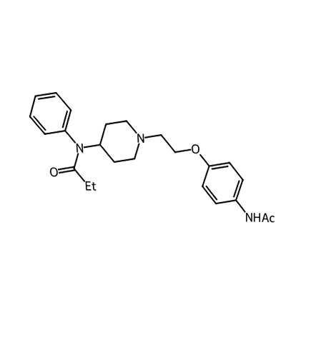 CCC(=O)N(c1ccccc1)C1CCN(CCOc2ccc(NC(C)=O)cc2)CC1